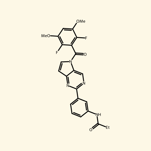 CCC(=O)Nc1cccc(-c2ncc3c(ccn3C(=O)c3c(F)c(OC)cc(OC)c3F)n2)c1